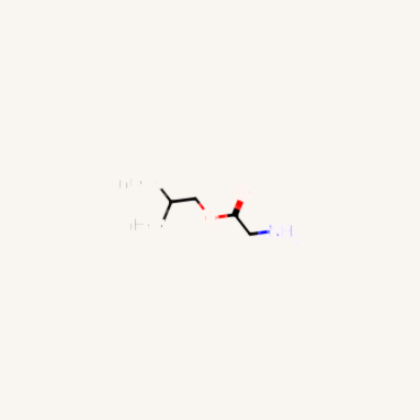 CCCCCCCCC(CCCCCC)COC(=O)CN